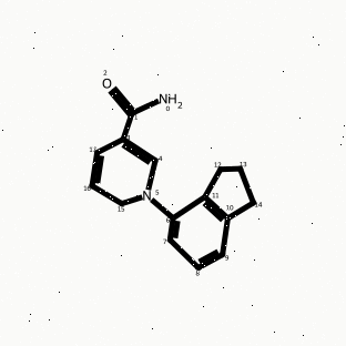 NC(=O)C1=CN(c2cccc3c2CCC3)CC=C1